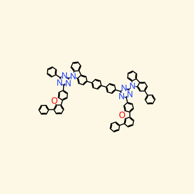 c1ccc(-c2ccc3c4ccccc4n(-c4nc(-c5ccc(-c6ccc(-c7ccc8c(c7)c7ccccc7n8-c7nc(-c8ccccc8)nc(-c8ccc9c(c8)oc8c(-c%10ccccc%10)cccc89)n7)cc6)cc5)nc(-c5ccc6c(c5)oc5c(-c7ccccc7)cccc56)n4)c3c2)cc1